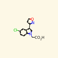 O=C(O)Cn1cc(-c2ccon2)c2cc(Cl)ccc21